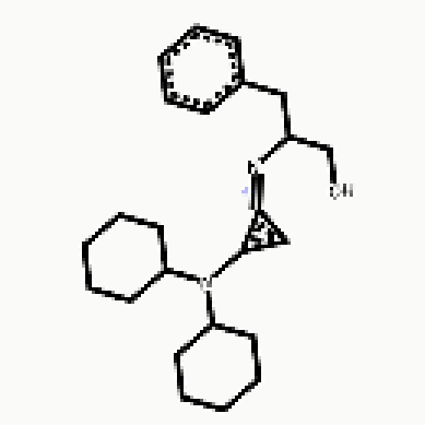 OCC(Cc1ccccc1)/N=c1\cc1N(C1CCCCC1)C1CCCCC1